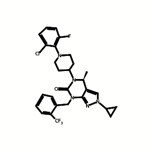 C[C@H]1c2cn(C3CC3)nc2N(Cc2ccccc2C(F)(F)F)C(=O)N1C1CCN(c2c(F)cccc2Cl)CC1